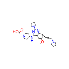 COc1cc2c(NC3CCN(CC(=O)O)CC3)nc(N3CCCC3)nc2cc1C#CCN1CCCC1